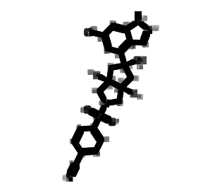 N#Cc1ccc(S(=O)(=O)N2C[C@@H]3C[C@](O)(c4cc(Cl)cc5[nH]ncc45)C[C@@H]3C2)cc1